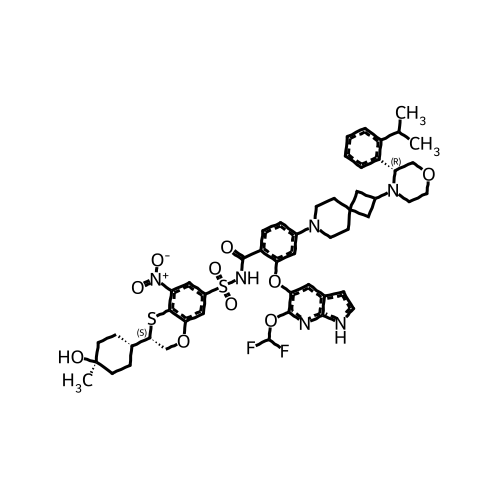 CC(C)c1ccccc1[C@@H]1COCCN1C1CC2(CCN(c3ccc(C(=O)NS(=O)(=O)c4cc5c(c([N+](=O)[O-])c4)S[C@@H]([C@H]4CC[C@](C)(O)CC4)CO5)c(Oc4cc5cc[nH]c5nc4OC(F)F)c3)CC2)C1